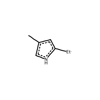 C[CH]c1cc(C)c[nH]1